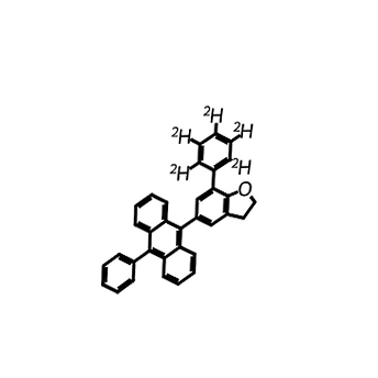 [2H]c1c([2H])c([2H])c(-c2cc(-c3c4ccccc4c(-c4ccccc4)c4ccccc34)cc3c2OCC3)c([2H])c1[2H]